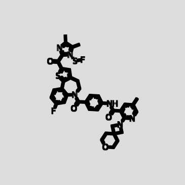 Cc1cnc(N2CC3(CCOCC3)C2)c(C(=O)Nc2ccc(C(=O)N3CCc4cc(C(=O)c5nc(C)c(C)n5SF)sc4-c4ccc(F)cc43)cc2)c1